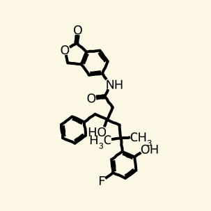 CC(C)(CC(O)(CC(=O)Nc1ccc2c(c1)COC2=O)Cc1ccccc1)c1cc(F)ccc1O